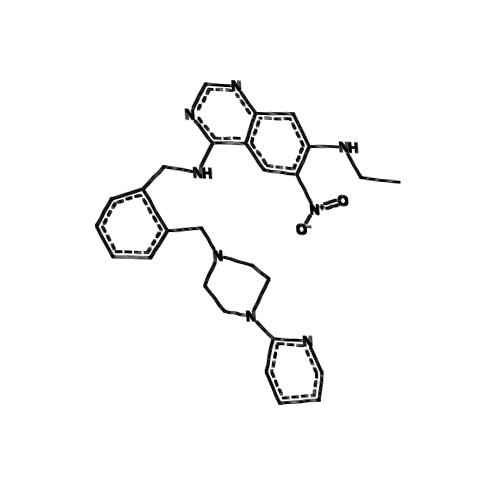 CCNc1cc2ncnc(NCc3ccccc3CN3CCN(c4ccccn4)CC3)c2cc1[N+](=O)[O-]